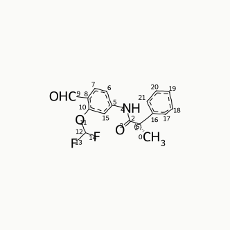 C[C@H](C(=O)Nc1ccc(C=O)c(OC(F)F)c1)c1ccccc1